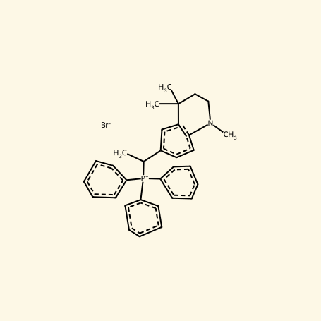 CC(c1ccc2c(c1)C(C)(C)CCN2C)[P+](c1ccccc1)(c1ccccc1)c1ccccc1.[Br-]